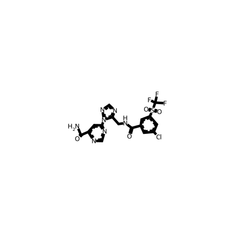 NC(=O)c1cc(-n2ncnc2CNC(=O)c2cc(Cl)cc(S(=O)(=O)C(F)(F)F)c2)ncn1